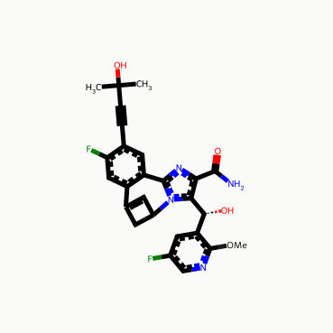 COc1ncc(F)cc1[C@@H](O)c1c(C(N)=O)nc2n1C1C=C(C1)c1cc(F)c(C#CC(C)(C)O)cc1-2